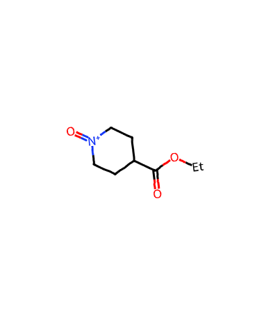 CCOC(=O)C1CC[N+](=O)CC1